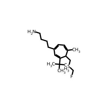 CC1=CC=C(CCCCN)C=C(C(C)(C)C)C1CSCF